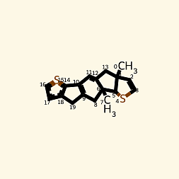 CC12C=CSC1C1(C)CC3=C(C=C1C2)c1sccc1C3